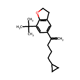 C=C(CCCC1CC1)c1cc2c(c(C(C)(C)C)c1)OCC2